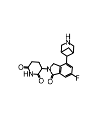 O=C1CCC(N2Cc3c(cc(F)cc3C3C4CNCC3C4)C2=O)C(=O)N1